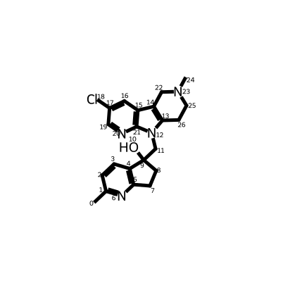 Cc1ccc2c(n1)CCC2(O)Cn1c2c(c3cc(Cl)cnc31)CN(C)CC2